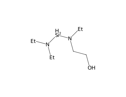 CCN(CC)[SiH2]N(CC)CCO